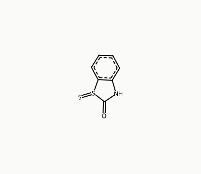 O=C1Nc2ccccc2S1=S